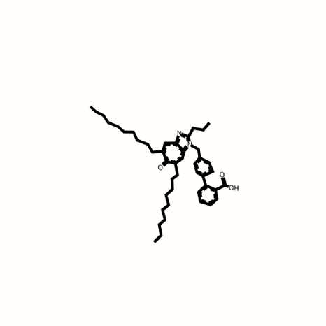 CCCCCCCCCCc1cc2nc(CCC)n(Cc3ccc(-c4ccccc4C(=O)O)cc3)c2cc(CCCCCCCCCC)c1=O